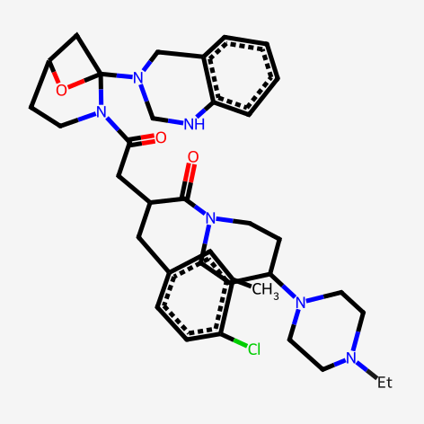 CCN1CCN(C2CCN(C(=O)C(CC(=O)N3CCC4CC3(N3CNc5ccccc5C3)O4)Cc3ccc(Cl)c(C)c3)CC2)CC1